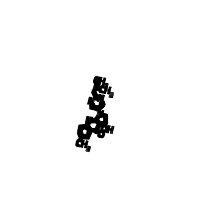 Cc1ccc2c(c1)C(=O)[C@]1(O)CCN(c3cnc(CN(C)C)nc3)C1=N2